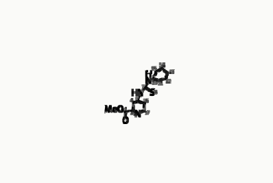 COC(=O)c1cc(NC(=S)Nc2ccccc2)ccn1